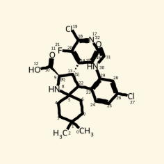 CC1(C)CCC2(CC1)N[C@@H](C(=O)O)[C@H](c1ccnc(Cl)c1F)C2c1ccc(Cl)cc1NC=O